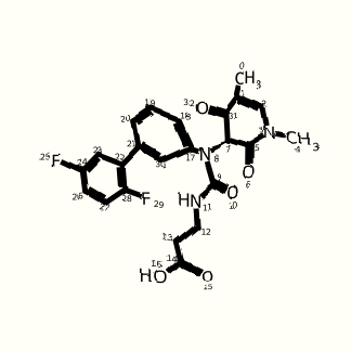 CC1=CN(C)C(=O)[C@@H](N(C(=O)NCCC(=O)O)c2cccc(-c3cc(F)ccc3F)c2)C1=O